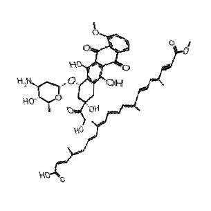 COC(=O)/C=C/C(C)=C/C=C/C(C)=C/C=C/C=C(C)/C=C/C=C(C)/C=C/C(=O)O.COc1cccc2c1C(=O)c1c(O)c3c(c(O)c1C2=O)C[C@@](O)(C(=O)CO)C[C@@H]3O[C@H]1C[C@H](N)[C@@H](O)[C@H](C)O1